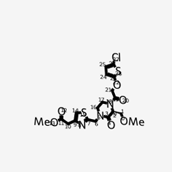 COC[C@H]1C(=O)N(Cc2nc(CC(=O)OC)cs2)CCN1C(=O)COc1ccc(Cl)s1